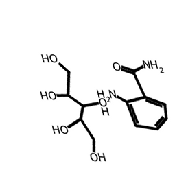 NC(=O)c1ccccc1N.OCC(O)C(O)C(O)CO